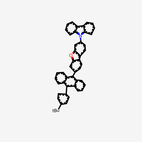 CC(C)(C)c1ccc(-c2c3ccccc3c(-c3ccc4c(c3)oc3cc(-n5c6ccccc6c6ccccc65)ccc34)c3ccccc23)cc1